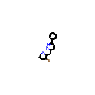 Brc1c[c]cnc1Cc1ccc(-c2ccccc2)nn1